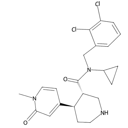 Cn1ccc([C@@H]2CCNC[C@H]2C(=O)N(Cc2cccc(Cl)c2Cl)C2CC2)cc1=O